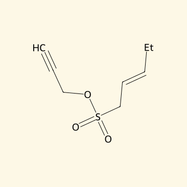 C#CCOS(=O)(=O)CC=CCC